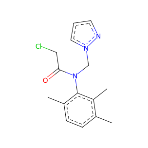 Cc1ccc(C)c(N(Cn2cccn2)C(=O)CCl)c1C